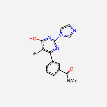 CNC(=O)c1cccc(-c2nc(-n3ccnc3)nc(O)c2C(C)C)c1